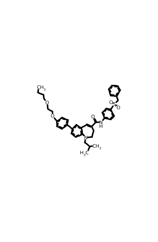 CCCCOCCOc1ccc(-c2ccc3c(c2)C=C(C(=O)Nc2ccc(S(=O)(=O)Cc4ccccc4)cc2)CCN3CC(C)C)cc1